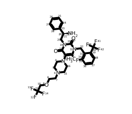 Cc1c(N2CCN(CCOCC(F)(F)F)CC2)c(=O)n(C[C@H](N)c2ccccc2)c(=O)n1Cc1c(F)cccc1C(F)(F)F